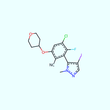 Cn1ncc(I)c1-c1c(F)c(Cl)cc(OC2CCOCC2)c1C#N